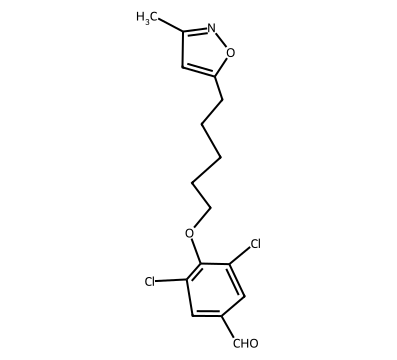 Cc1cc(CCCCCOc2c(Cl)cc(C=O)cc2Cl)on1